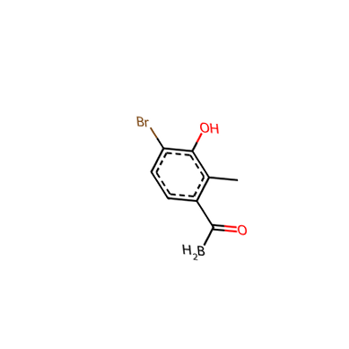 BC(=O)c1ccc(Br)c(O)c1C